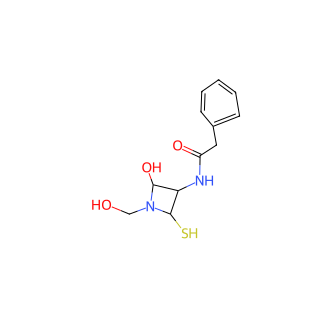 O=C(Cc1ccccc1)NC1C(O)N(CO)C1S